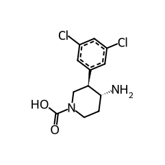 N[C@@H]1CCN(C(=O)O)C[C@H]1c1cc(Cl)cc(Cl)c1